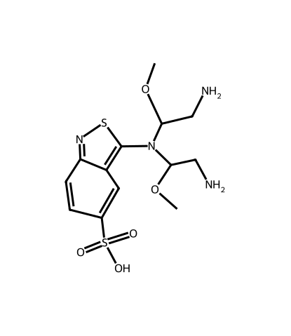 COC(CN)N(c1snc2ccc(S(=O)(=O)O)cc12)C(CN)OC